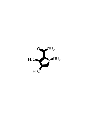 Cc1cn(N)c(C(N)=O)c1C